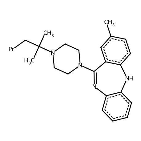 Cc1ccc2c(c1)C(N1CCN(C(C)(C)CC(C)C)CC1)=Nc1ccccc1N2